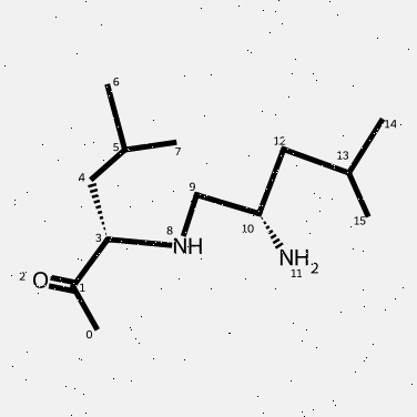 CC(=O)[C@H](CC(C)C)NC[C@@H](N)CC(C)C